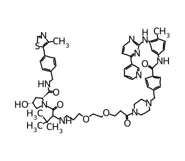 Cc1ccc(NC(=O)c2ccc(CN3CCN(C(=O)CCOCCOCCCNC(C(=O)N4C[C@H](O)C[C@H]4C(=O)NCc4ccc(-c5scnc5C)cc4)C(C)(C)C)CC3)cc2)cc1Nc1nccc(-c2cccnc2)n1